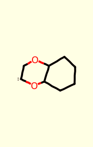 [C]1COC2CCCCC2O1